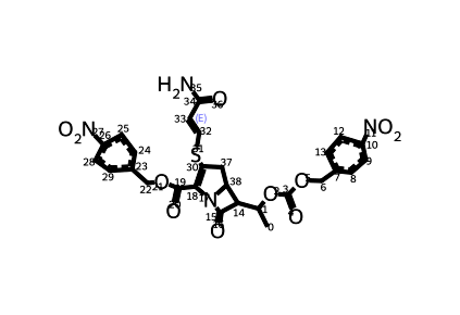 CC(OC(=O)OCc1ccc([N+](=O)[O-])cc1)C1C(=O)N2C(C(=O)OCc3ccc([N+](=O)[O-])cc3)=C(S/C=C/C(N)=O)CC12